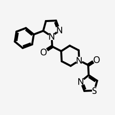 O=C(c1cscn1)N1CCC(C(=O)N2N=CCC2c2ccccc2)CC1